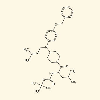 CC(C)=CCN(c1ccc(OCc2ccccc2)cc1)C1CCN(C(=O)C(CC(C)C)NC(=O)OC(C)(C)C)CC1